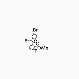 COC(=O)c1c(F)cccc1-c1oc2ccc(CBr)cc2c1Br